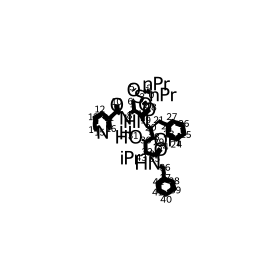 CCCC(CCC)S(=O)(=O)CC(NC(=O)c1cccnc1)C(=O)N[C@@H](Cc1ccccc1)[C@@H](O)[C@H](O)[C@H](C(=O)NCc1ccccc1)C(C)C